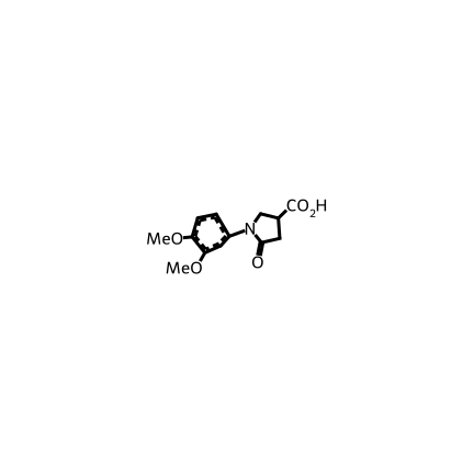 COc1ccc(N2CC(C(=O)O)CC2=O)cc1OC